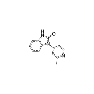 Cc1cc(-n2c(=O)[nH]c3ccccc32)ccn1